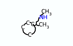 CCCNCCCC(CC)C1CCCCCCCCCCCCCCC1